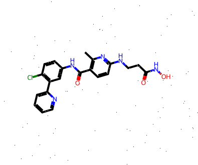 Cc1nc(NCCC(=O)NO)ccc1C(=O)Nc1ccc(Cl)c(-c2ccccn2)c1